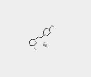 Cl.Cl.Cl.NC1CCN(CCN2CCC[C@@H](O)C2)CC1